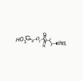 CCCCCCCCNC(=O)COCC(=O)O